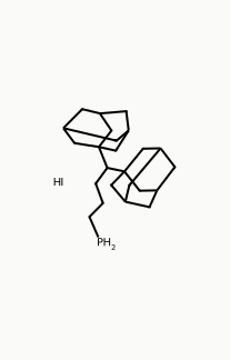 I.PCCCC(C12CC3CC(CC(C3)C1)C2)C12CC3CC(CC(C3)C1)C2